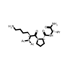 CC(=O)N(C(C)=O)[C@@H](CCCCN)C(=O)N1CCC[C@H]1C(=O)N[C@H](C(N)=O)C(C)C